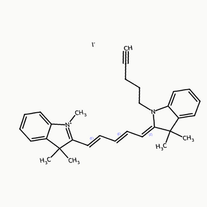 C#CCCCN1\C(=C/C=C/C=C/C2=[N+](C)c3ccccc3C2(C)C)C(C)(C)c2ccccc21.[I-]